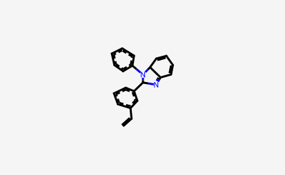 C=Cc1cccc(C2N=C3C=CC=CC3N2c2ccccc2)c1